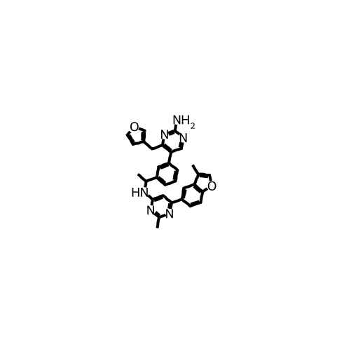 Cc1nc(NC(C)c2cccc(-c3cnc(N)nc3Cc3ccoc3)c2)cc(-c2ccc3occ(C)c3c2)n1